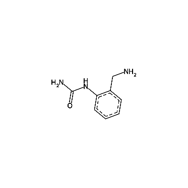 NCc1ccccc1NC(N)=O